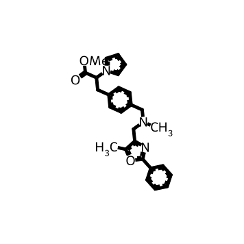 COC(=O)C(Cc1ccc(CN(C)Cc2nc(-c3ccccc3)oc2C)cc1)n1cccc1